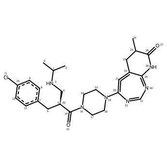 CC(C)NC[C@H](Cc1ccc(Cl)cc1)C(=O)N1CCN(C2=C=C3CC(C)C(=O)NC3=NC=N2)CC1